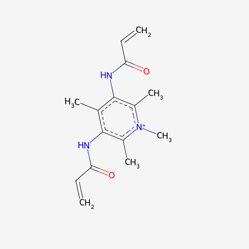 C=CC(=O)Nc1c(C)c(NC(=O)C=C)c(C)[n+](C)c1C